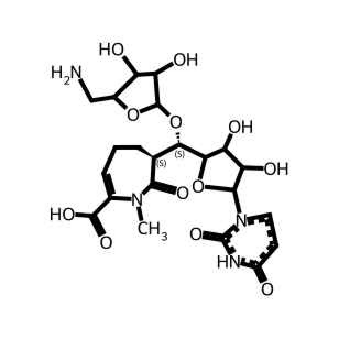 CN1C(=O)[C@H]([C@H](OC2OC(CN)C(O)C2O)C2OC(n3ccc(=O)[nH]c3=O)C(O)C2O)CCC=C1C(=O)O